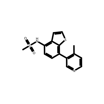 Cc1ccncc1-c1ccc(NS(C)(=O)=O)c2ccsc12